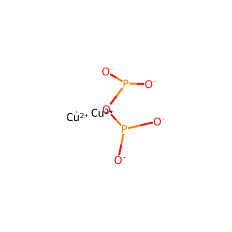 [Cu+2].[Cu+2].[O-]P([O-])OP([O-])[O-]